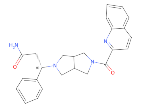 NC(=O)C[C@@H](c1ccccc1)N1CC2CN(C(=O)c3ccc4ccccc4n3)CC2C1